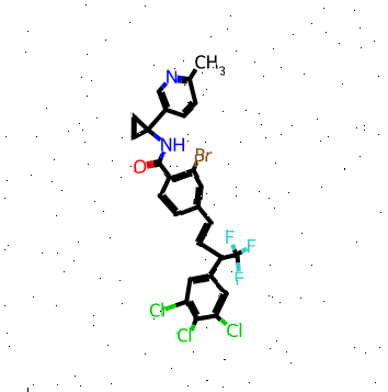 Cc1ccc(C2(NC(=O)c3ccc(/C=C/C(c4cc(Cl)c(Cl)c(Cl)c4)C(F)(F)F)cc3Br)CC2)cn1